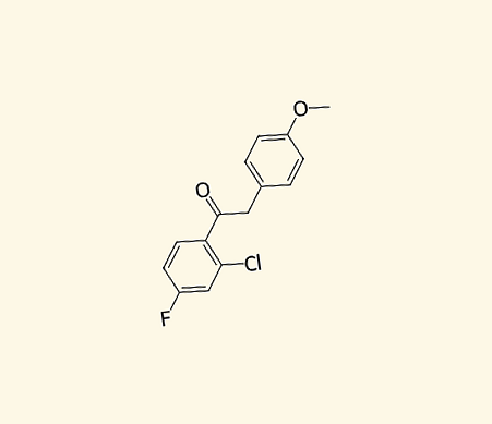 COc1ccc(CC(=O)c2ccc(F)cc2Cl)cc1